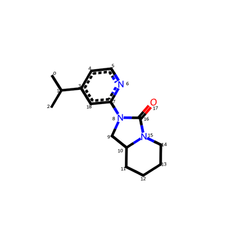 CC(C)c1ccnc(N2CC3CCCCN3C2=O)c1